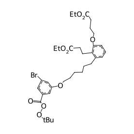 CCOC(=O)CCCOc1cccc(CCCCCCOc2cc(Br)cc(C(=O)OOC(C)(C)C)c2)c1CCC(=O)OCC